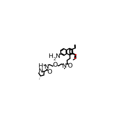 C=CC1=CC2c3ccc(N)cc3C1(CCC(=O)N(C)CCOCCN(C)C(=O)C1C[C@H](C)CN1)C(/C=C\C)C2C=C